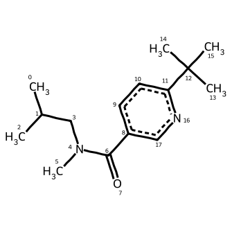 CC(C)CN(C)C(=O)c1ccc(C(C)(C)C)nc1